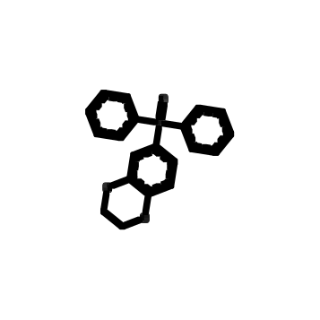 O=P(c1ccccc1)(c1ccccc1)c1ccc2c(c1)OCCO2